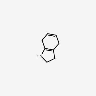 [CH]1CNC2=C1CC=CC2